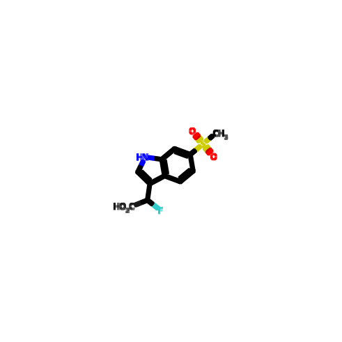 CS(=O)(=O)c1ccc2c(C(F)C(=O)O)c[nH]c2c1